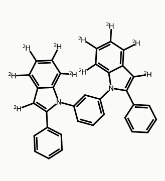 [2H]c1c([2H])c([2H])c2c(c1[2H])c([2H])c(-c1ccccc1)n2-c1cccc(-n2c(-c3ccccc3)c([2H])c3c([2H])c([2H])c([2H])c([2H])c32)c1